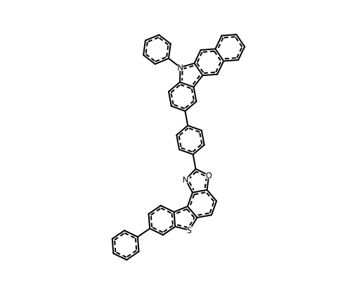 c1ccc(-c2ccc3c(c2)sc2ccc4oc(-c5ccc(-c6ccc7c(c6)c6cc8ccccc8cc6n7-c6ccccc6)cc5)nc4c23)cc1